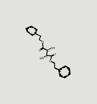 O=C(OCCc1ccccc1)[C@@H](O)[C@H](O)C(=O)OCCc1ccccc1